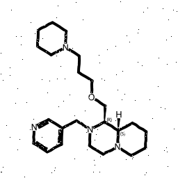 c1cncc(CN2CCN3CCCC[C@H]3[C@@H]2COCCCN2CCCCC2)c1